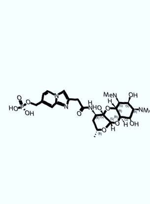 CN[C@@H]1[C@H](O)[C@H](NC)[C@H]2O[C@]3(O)[C@H](O[C@@H]2[C@H]1O)O[C@H](C)C[C@H]3NC(=O)Cc1cn2ccc(COP(=O)(O)O)cc2n1